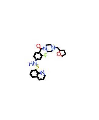 O=C(c1ccc(NSc2cccc3cccnc23)cc1F)N1CCN(CC2CCCO2)CC1